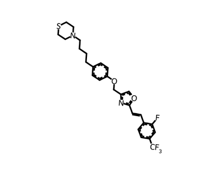 Fc1cc(C(F)(F)F)ccc1/C=C/c1nc(COc2ccc(CCCCN3CCSCC3)cc2)co1